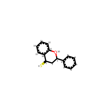 S=C1CC(c2ccccc2)Oc2ccccc21